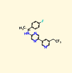 C[C@@H](Nc1cnc(-c2cncc(CC(F)(F)F)c2)cn1)c1ccc(F)cc1